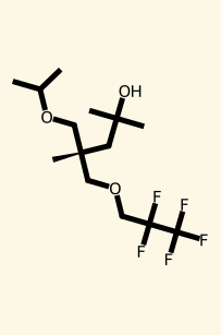 CC(C)OC[C@@](C)(COCC(F)(F)C(F)(F)F)CC(C)(C)O